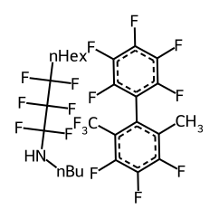 CCCCCCC(F)(F)C(F)(F)C(F)(F)NCCCC.Cc1c(F)c(F)c(F)c(C(F)(F)F)c1-c1c(F)c(F)c(F)c(F)c1F